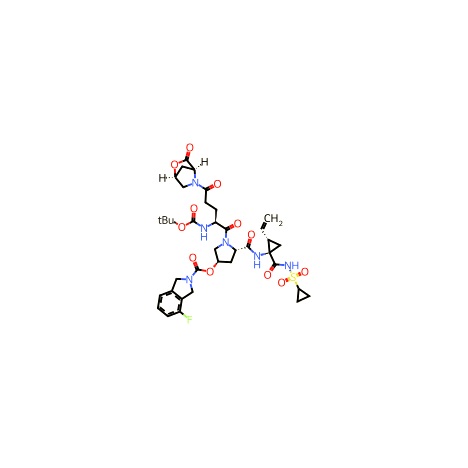 C=C[C@@H]1C[C@]1(NC(=O)[C@@H]1C[C@@H](OC(=O)N2Cc3cccc(F)c3C2)CN1C(=O)[C@H](CCC(=O)N1C[C@@H]2C[C@H]1C(=O)O2)NC(=O)OC(C)(C)C)C(=O)NS(=O)(=O)C1CC1